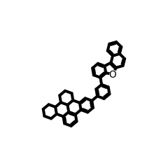 c1cc(-c2ccc3c(c2)C2CCCC4C5CCCCC5c5cccc-3c5C24)cc(-c2cccc3c2oc2ccc4ccccc4c23)c1